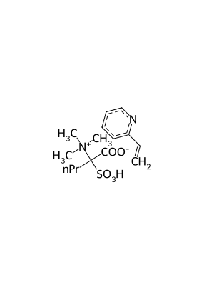 C=Cc1ccccn1.CCCC(C(=O)[O-])([N+](C)(C)C)S(=O)(=O)O